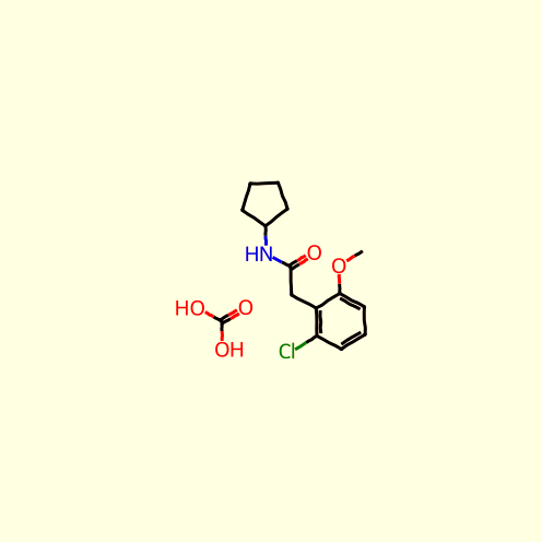 COc1cccc(Cl)c1CC(=O)NC1CCCC1.O=C(O)O